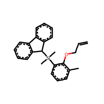 C=CCOc1c(C)cccc1[Si](C)(C)C1c2ccccc2-c2ccccc21